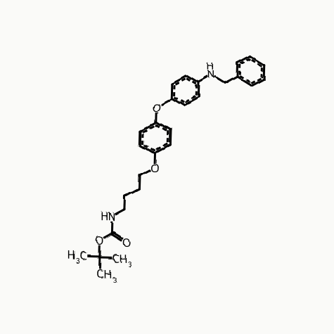 CC(C)(C)OC(=O)NCCCCOc1ccc(Oc2ccc(NCc3ccccc3)cc2)cc1